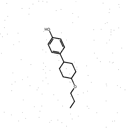 CCCOC1CCC(c2ccc(O)cc2)CC1